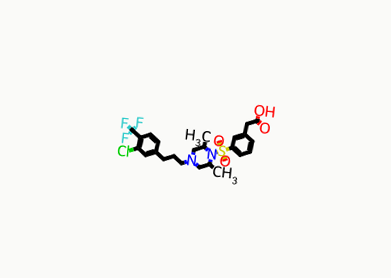 CC1CN(CCCc2ccc(C(F)(F)F)c(Cl)c2)CC(C)N1S(=O)(=O)c1cccc(CC(=O)O)c1